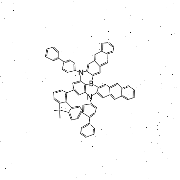 CC1(C)c2ccccc2-c2c(-c3cc4c5c(c3)N(c3ccc(-c6ccccc6)cc3)c3cc6cc7ccccc7cc6cc3B5c3cc5cc6ccccc6cc5cc3N4c3ccc(-c4ccccc4)cc3)cccc21